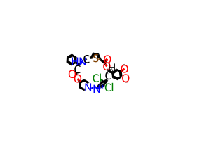 COc1ccc([C@@H]2Cc3c(Cl)c[n+](cc3Cl)N3CCC(CC3)OC(=O)CC(c3ccccc3)NCc3ccc(s3)C(=O)O2)cc1OC